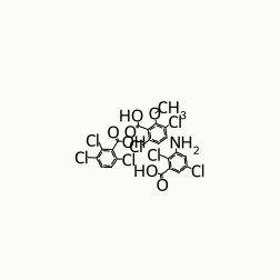 COc1c(Cl)ccc(Cl)c1C(=O)O.Nc1cc(Cl)cc(C(=O)O)c1Cl.O=C(O)c1c(Cl)ccc(Cl)c1Cl